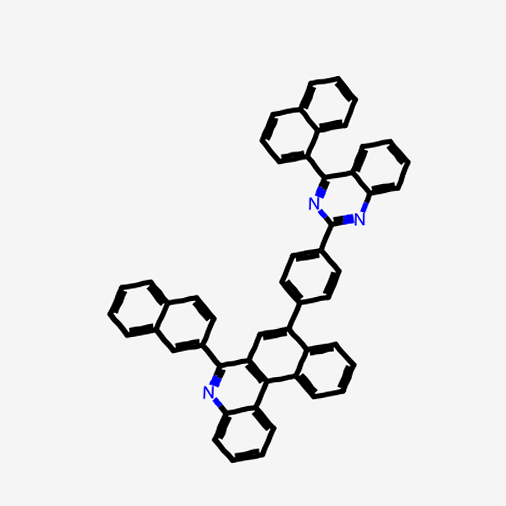 c1ccc2cc(-c3nc4ccccc4c4c3cc(-c3ccc(-c5nc(-c6cccc7ccccc67)c6ccccc6n5)cc3)c3ccccc34)ccc2c1